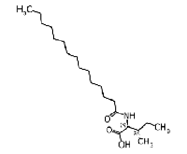 CCCCCCCCCCCCCCC(=O)N[C@H](C(=O)O)[C@@H](C)CC